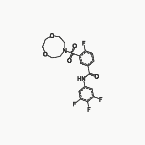 O=C(Nc1cc(F)c(F)c(F)c1)c1ccc(F)c(S(=O)(=O)N2CCOCCOCC2)c1